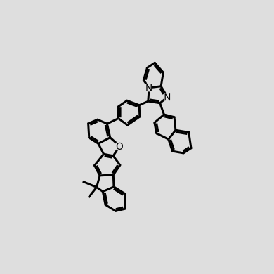 CC1(C)c2ccccc2-c2cc3oc4c(-c5ccc(-c6c(-c7ccc8ccccc8c7)nc7ccccn67)cc5)cccc4c3cc21